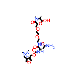 CNN(C)Cc1cocc1COC(=O)N[C@@H](CC(N)=O)C(=O)NCCOCCOCCC(=O)N(C)[C@@H](C)C(=O)O